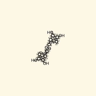 O=S(=O)(c1ccc(-c2cccc3c2Nc2ccccc2C3(c2ccc(O)cc2)c2ccc(O)cc2)cc1)c1ccc(-c2cccc3c2Nc2ccccc2C3(c2ccc(O)cc2)c2ccc(O)cc2)cc1